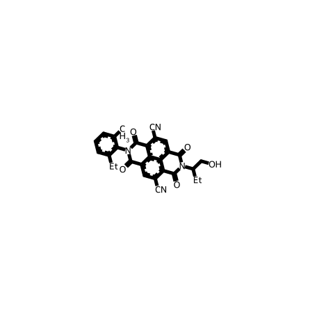 CCc1cccc(C)c1N1C(=O)c2cc(C#N)c3c4c(cc(C#N)c(c24)C1=O)C(=O)N(C(CC)CO)C3=O